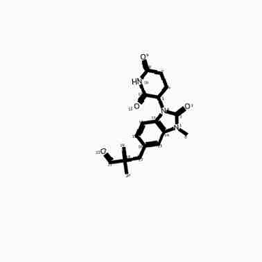 Cn1c(=O)n(C2CCC(=O)NC2=O)c2ccc(CC(C)(C)C=O)cc21